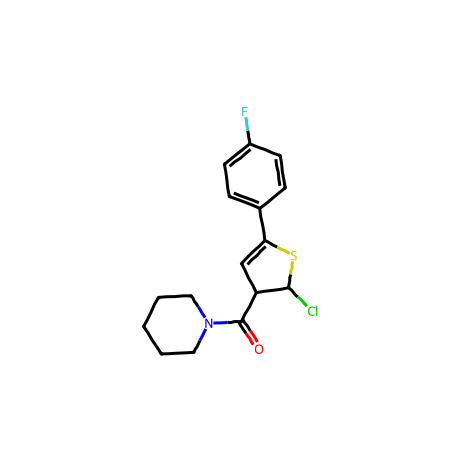 O=C(C1C=C(c2ccc(F)cc2)SC1Cl)N1CCCCC1